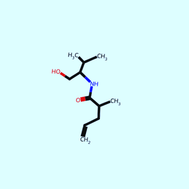 C=CCC(C)C(=O)NC(CO)C(C)C